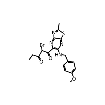 CCC(=O)C(Br)C(=O)c1nc2nc(C)sc2nc1NCc1ccc(OC)cc1